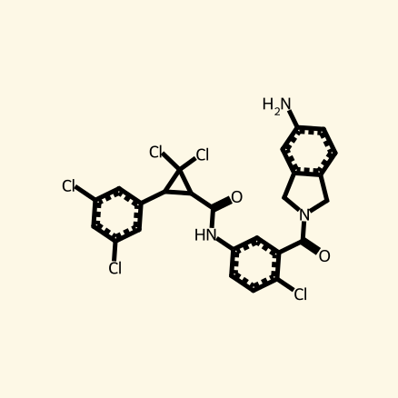 Nc1ccc2c(c1)CN(C(=O)c1cc(NC(=O)C3C(c4cc(Cl)cc(Cl)c4)C3(Cl)Cl)ccc1Cl)C2